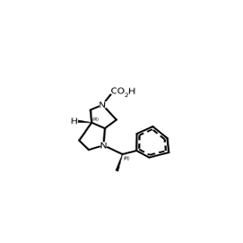 C[C@H](c1ccccc1)N1CC[C@@H]2CN(C(=O)O)CC21